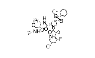 CC(C)C(NC(=O)[C@@H]1C[C@@H](S(=O)(=O)c2ccccc2Cl)CN1C(=O)C1(c2ncc(Cl)cc2F)CC1)C(=O)C(=O)NC1CC1